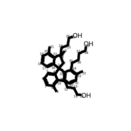 CCCC(c1cccc(C)c1CCCCO)(c1cccc(C)c1CCCCO)c1cccc(C)c1CCCCO